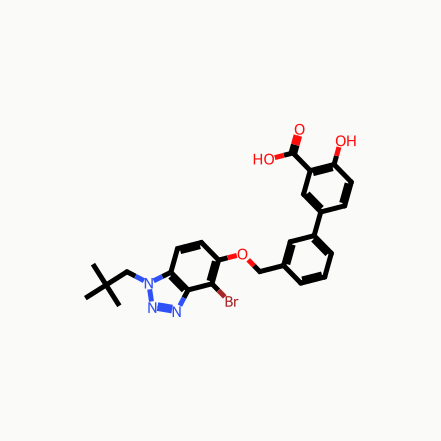 CC(C)(C)Cn1nnc2c(Br)c(OCc3cccc(-c4ccc(O)c(C(=O)O)c4)c3)ccc21